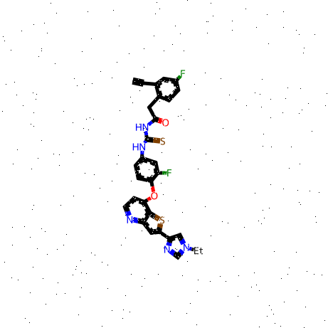 C#Cc1cc(F)ccc1CC(=O)NC(=S)Nc1ccc(Oc2ccnc3cc(-c4cn(CC)cn4)sc23)c(F)c1